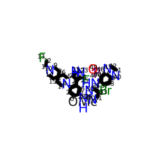 COc1cc(N2CCC3(CCN(CCF)CC3)CC2)c(-c2cnn(C)c2F)cc1Nc1ncc(Br)c(Nc2ccc3nccnc3c2P(C)(C)=O)n1